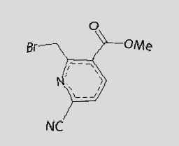 COC(=O)c1ccc(C#N)nc1CBr